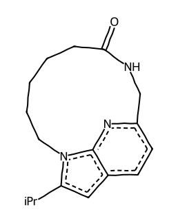 CC(C)c1cc2ccc3nc2n1CCCCCC(=O)NC3